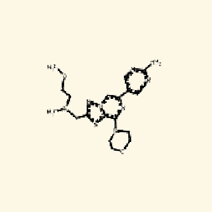 COCCN(C)Cc1nc2c(N3CCOCC3)nc(-c3cnc(N)nc3)cn2n1